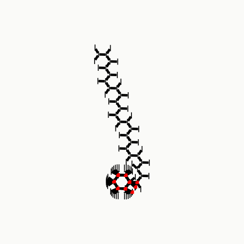 II(I)I(I)I(I)I(I)I(I)I(I)I(I)I(I)I(I)I(I)I(I)I(I)I(I)I(I)I(I)I(I)I(I)I(I)I(I)I(I)I(I)I(I)I(I)I(I)I(I)I(I)I(I)I(I)I(I)I(I)I(I)I(I)I(I)I(I)I(I)I(I)I(I)I(I)I(I)I(I)I(I)I(I)I(I)I(I)I(I)I(I)I(I)I(I)I(I)I(I)I(I)I(I)I(I)I(I)I(I)I(I)I(I)I(I)I(I)I(I)I